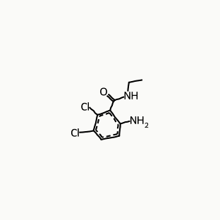 CCNC(=O)c1c(N)ccc(Cl)c1Cl